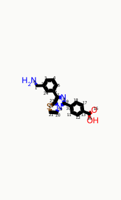 NCc1cccc(-c2nc(-c3ccc(C(=O)O)cc3)n3ccsc23)c1